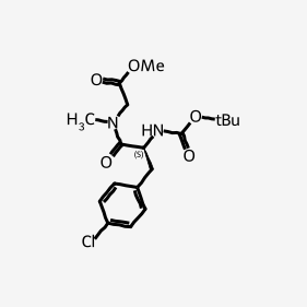 COC(=O)CN(C)C(=O)[C@H](Cc1ccc(Cl)cc1)NC(=O)OC(C)(C)C